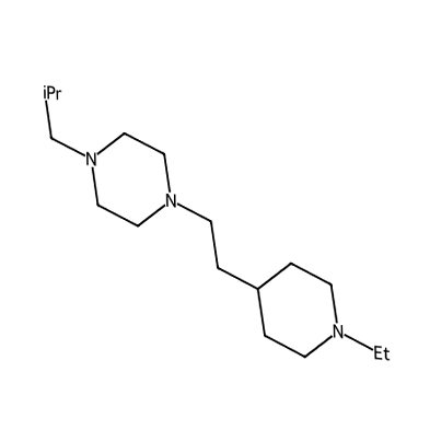 CCN1CCC(CCN2CCN(CC(C)C)CC2)CC1